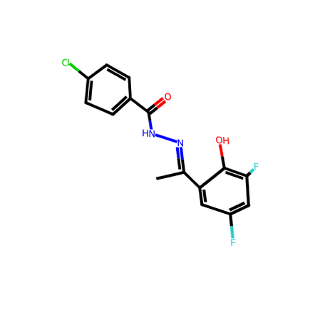 C/C(=N\NC(=O)c1ccc(Cl)cc1)c1cc(F)cc(F)c1O